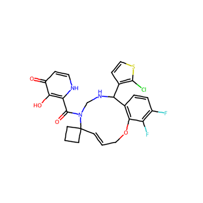 O=C(c1[nH]ccc(=O)c1O)N1CNC(c2ccsc2Cl)c2ccc(F)c(F)c2OC/C=C/C12CCC2